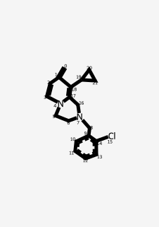 C=C1C=CN2CCN(Cc3ccccc3Cl)CC2=C1C1CC1